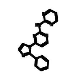 c1ccc(-c2nccn2-c2ccnc(Nc3ncccn3)n2)cc1